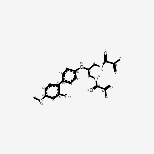 C=C(C)C(=O)OCC(COC(=O)C(=C)C)Oc1ccc(-c2ccc(OC)cc2F)cc1